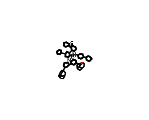 c1ccc(-c2ccc(N3B4c5c(cc(-c6ccccc6)cc5-n5c6ccc(C78CC9CC(CC(C9)C7)C8)cc6c6cc(C78CC9CC(CC(C9)C7)C8)cc4c65)-c4c3ccc3sc5ccccc5c43)cc2)cc1